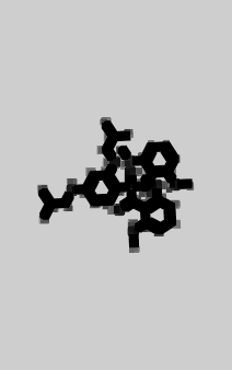 COc1cccc(OC)c1C(=O)P(=O)(C(=O)c1c(OC)cccc1OC)c1ccc(OCC(C)C)cc1OCC(C)C